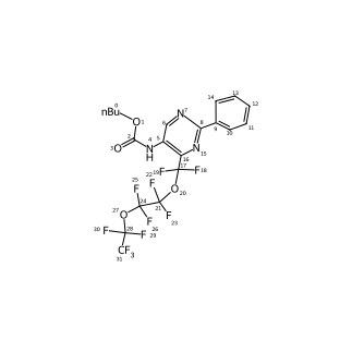 CCCCOC(=O)Nc1cnc(-c2ccccc2)nc1C(F)(F)OC(F)(F)C(F)(F)OC(F)(F)C(F)(F)F